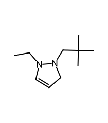 CCN1C=CCN1CC(C)(C)C